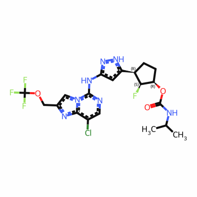 CC(C)NC(=O)O[C@@H]1CC[C@H](c2cc(Nc3ncc(Cl)c4nc(COC(F)(F)F)cn34)n[nH]2)[C@@H]1F